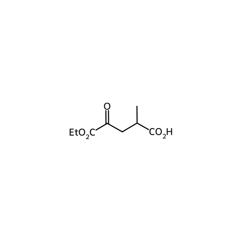 CCOC(=O)C(=O)CC(C)C(=O)O